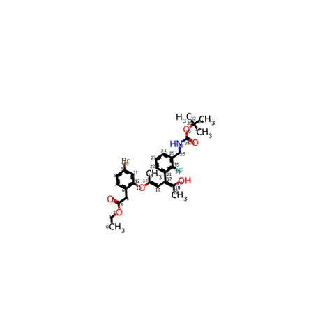 CCOC(=O)Cc1ccc(Br)cc1O/C(C)=C/C(=C(\C)O)c1cccc(CNC(=O)OC(C)(C)C)c1F